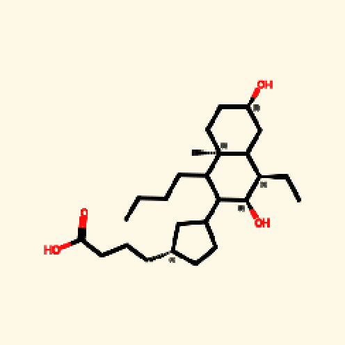 CCCCC1C(C2CC[C@H](CCCC(=O)O)C2)[C@H](O)[C@H](CC)C2C[C@H](O)CC[C@]12C